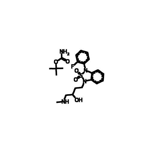 CC(C)(C)OC(N)=O.CNCC(O)CCN1c2ccccc2N(c2ccccc2F)S1(=O)=O